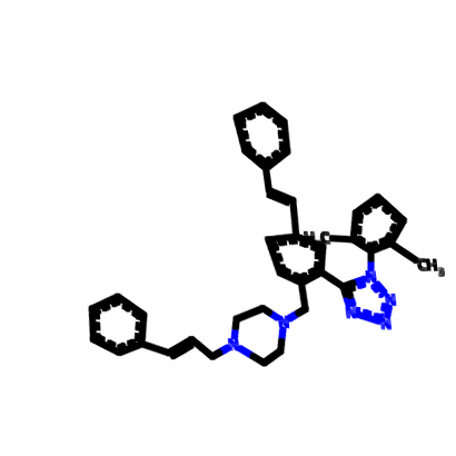 Cc1cccc(C)c1-n1nnnc1-c1cc(C=Cc2ccccc2)ccc1CN1CCN(CC=Cc2ccccc2)CC1